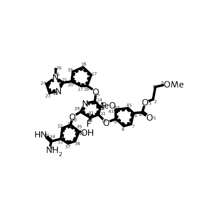 COCCOC(=O)c1ccc(Oc2c(F)c(Oc3cccc(-c4nccn4C)c3)nc(Oc3cc(C(=N)N)ccc3O)c2F)c(OC)c1